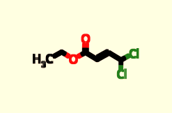 CCOC(=O)C=CC(Cl)Cl